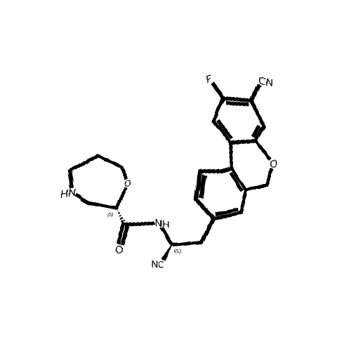 N#Cc1cc2c(cc1F)-c1ccc(C[C@@H](C#N)NC(=O)[C@@H]3CNCCCO3)cc1CO2